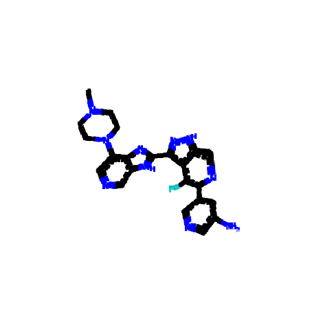 CN1CCN(c2cncc3[nH]c(-c4n[nH]c5cnc(-c6cncc(N)c6)c(F)c45)nc23)CC1